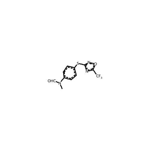 CN(C=O)c1ccc(Sc2noc(C(F)(F)F)n2)cc1